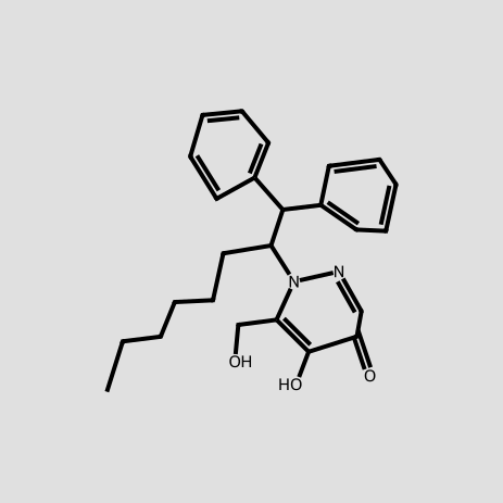 CCCCCCC(C(c1ccccc1)c1ccccc1)n1ncc(=O)c(O)c1CO